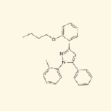 CCCCOc1ccccc1-c1cc(-c2ccccc2)n(-c2ccccc2C)n1